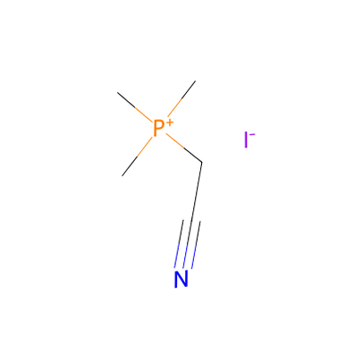 C[P+](C)(C)CC#N.[I-]